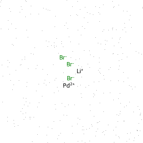 [Br-].[Br-].[Br-].[Li+].[Pd+2]